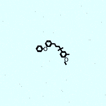 CCOc1ccc(C(C)(C)CCCc2cccc(Oc3ccccc3)c2)cc1C